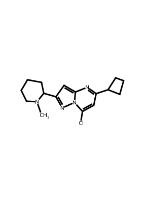 CN1CCCCC1c1cc2nc(C3CCC3)cc(Cl)n2n1